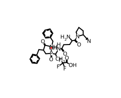 CC(NC(=O)CCC(N)C(=O)N1CCCC1C#N)P(=O)(O)CC(Cc1ccccc1)C(=O)NCc1ccccc1.O=C(O)C(F)(F)F